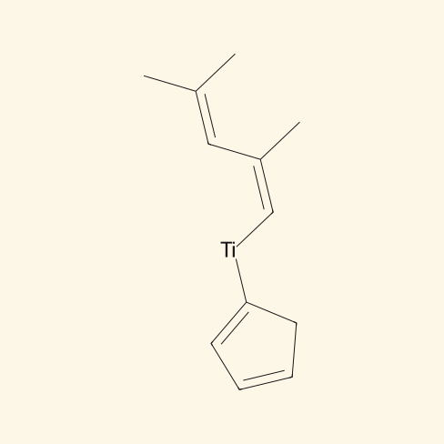 CC(C)=C/C(C)=[CH]\[Ti][C]1=CC=CC1